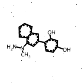 CN(N)c1cc(-c2ccc(O)cc2O)cc2ccccc12